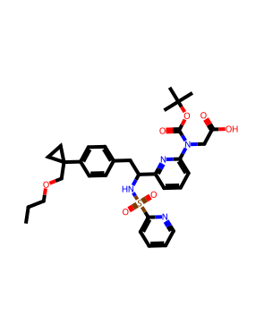 CCCOCC1(c2ccc(CC(NS(=O)(=O)c3ccccn3)c3cccc(N(CC(=O)O)C(=O)OC(C)(C)C)n3)cc2)CC1